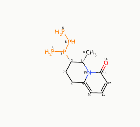 C[C@H]1[C@@H](P(P)PP)CCc2cccc(=O)n21